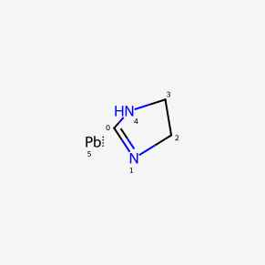 C1=NCCN1.[Pb]